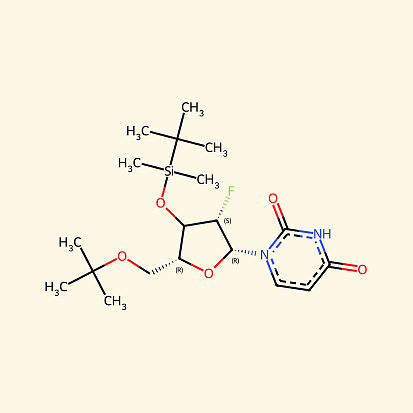 CC(C)(C)OC[C@H]1O[C@@H](n2ccc(=O)[nH]c2=O)[C@@H](F)C1O[Si](C)(C)C(C)(C)C